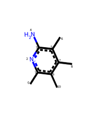 Cc1nc(N)c(C)c(C)c1C